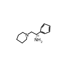 N[C@H](CN1CCCCC1)c1ccccc1